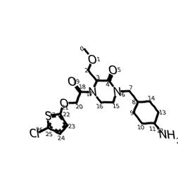 COCC1C(=O)N(CC2CCC(N)CC2)CCN1C(=O)COc1ccc(Cl)s1